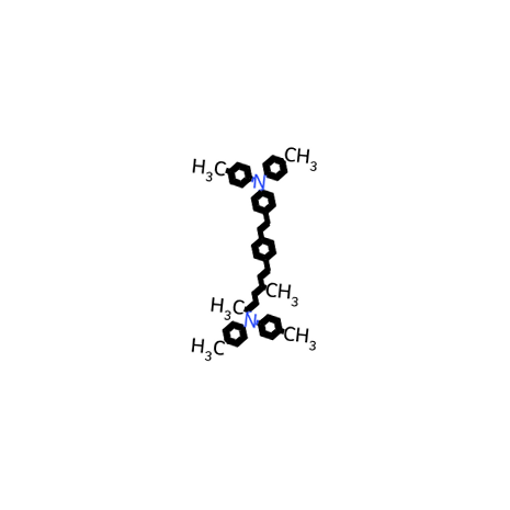 CC(/C=C/c1ccc(/C=C/c2ccc(N(c3ccc(C)cc3)c3ccc(C)cc3)cc2)cc1)=C\C=C(/C)N(c1ccc(C)cc1)c1ccc(C)cc1